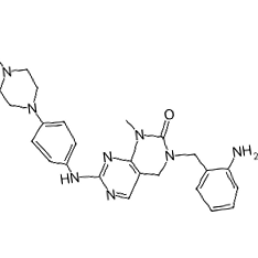 CN1CCN(c2ccc(Nc3ncc4c(n3)N(C)C(=O)N(Cc3ccccc3N)C4)cc2)CC1